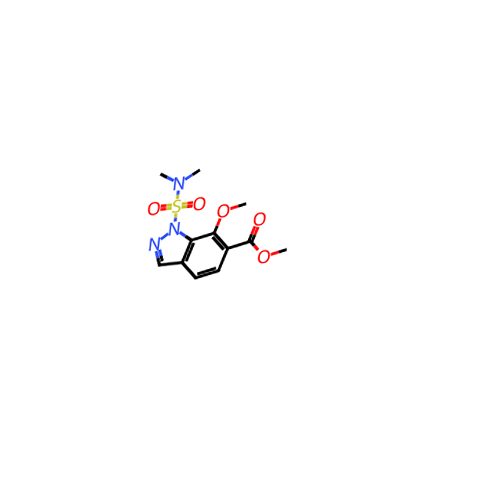 COC(=O)c1ccc2cnn(S(=O)(=O)N(C)C)c2c1OC